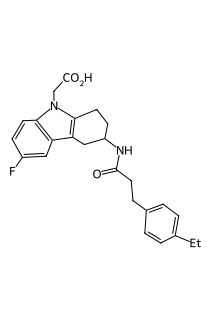 CCc1ccc(CCC(=O)NC2CCc3c(c4cc(F)ccc4n3CC(=O)O)C2)cc1